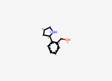 OCc1ccccc1C1CCCN1